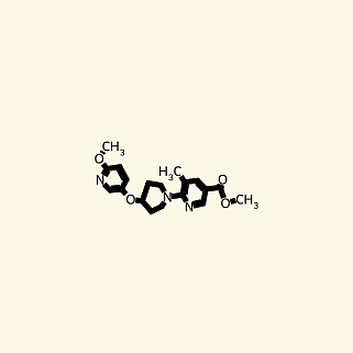 COC(=O)c1cnc(N2CCC(Oc3ccc(OC)nc3)CC2)c(C)c1